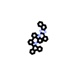 c1ccc(-c2nc3ccc4ccccc4c3nc2-n2c3cccc4c5cccc6c7c8ccccc8c8ccccc8c7n(c7cccc2c7c43)c56)cc1